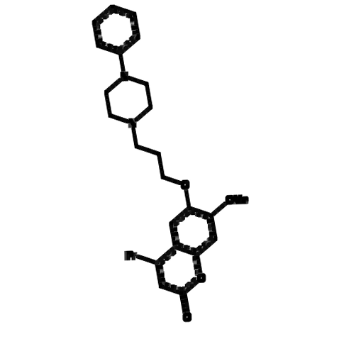 COc1cc2oc(=O)cc(C(C)C)c2cc1OCCCN1CCN(c2ccccc2)CC1